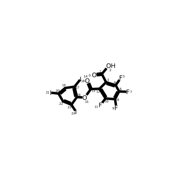 O=C(O)c1c(F)c(F)c(F)c(F)c1C(=O)Oc1c(I)cc(I)cc1I